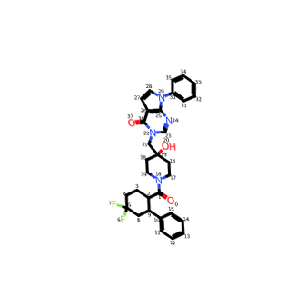 O=C(C1CCC(F)(F)CC1c1ccccc1)N1CCC(O)(Cn2cnc3c(ccn3-c3ccccc3)c2=O)CC1